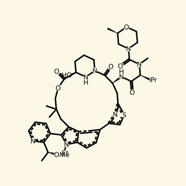 CCn1c(-c2cccnc2[C@H](C)OC)c2c3cc(ccc31)-c1csc(n1)C[C@H](NC(=O)[C@H](C(C)C)N(C)C(=O)N1CCO[C@H](C)C1)C(=O)N1CCC[C@@](O)(N1)C(=O)OCC(C)(C)C2